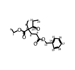 CCOC(=O)C(CC)(CCC(=O)OCc1ccccc1)C(=O)CC